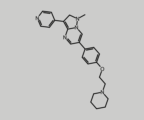 CN1CC(c2ccncc2)=C2N=CC(c3ccc(OCCN4CCCCC4)cc3)=CN21